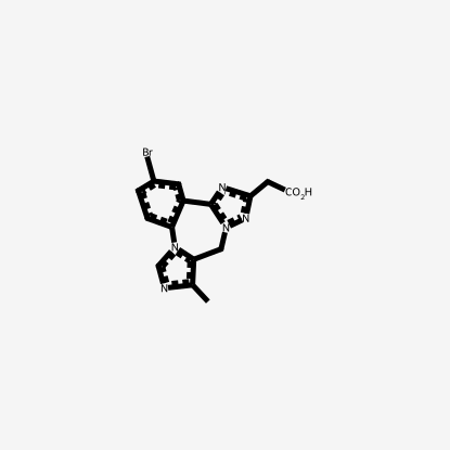 Cc1ncn2c1Cn1nc(CC(=O)O)nc1-c1cc(Br)ccc1-2